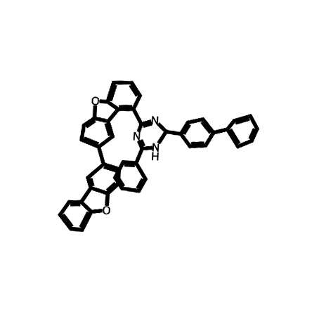 c1ccc(C2=NC(c3cccc4oc5ccc(-c6ccc7oc8ccccc8c7c6)cc5c34)=NC(c3ccc(-c4ccccc4)cc3)N2)cc1